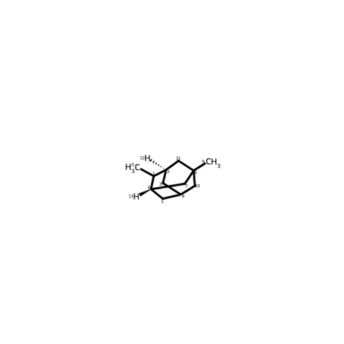 CC1[C@@H]2CC3C[C@H]1CC(C)(C3)C2